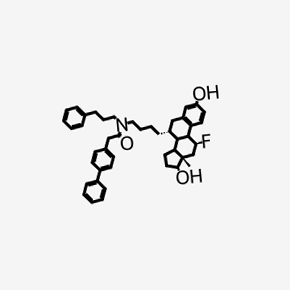 C[C@]12C[C@H](F)C3c4ccc(O)cc4C[C@@H](CCCCN(CCCc4ccccc4)C(=O)Cc4ccc(-c5ccccc5)cc4)C3C1CC[C@@H]2O